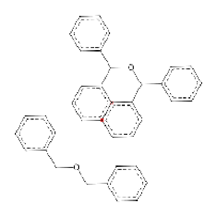 c1ccc(C(OC(c2ccccc2)c2ccccc2)c2ccccc2)cc1.c1ccc(COCc2ccccc2)cc1